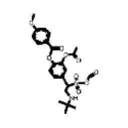 COc1ccc(C(=O)Oc2ccc(C(CNC(C)(C)C)S(=O)(=O)OC=O)cc2OC(C)=O)cc1